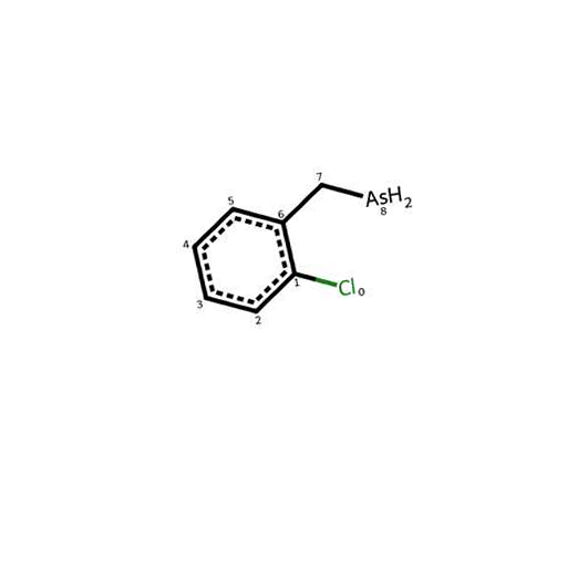 Clc1ccccc1C[AsH2]